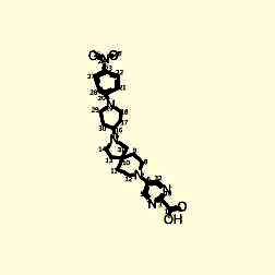 O=C(O)c1ncc(N2CCC3(CC2)CCN(C2CCN(c4ccc([N+](=O)[O-])cc4)CC2)C3)cn1